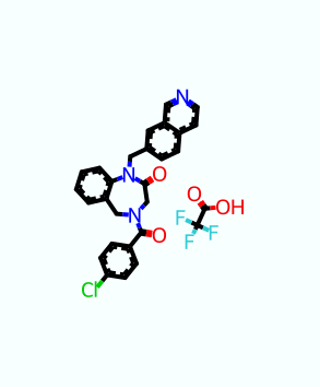 O=C(O)C(F)(F)F.O=C(c1ccc(Cl)cc1)N1CC(=O)N(Cc2ccc3ccncc3c2)c2ccccc2C1